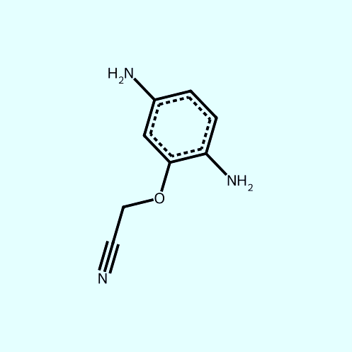 N#CCOc1cc(N)ccc1N